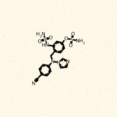 N#Cc1ccc(N(Cc2ccc(OS(N)(=O)=O)cc2NS(N)(=O)=O)n2ccnc2)cc1